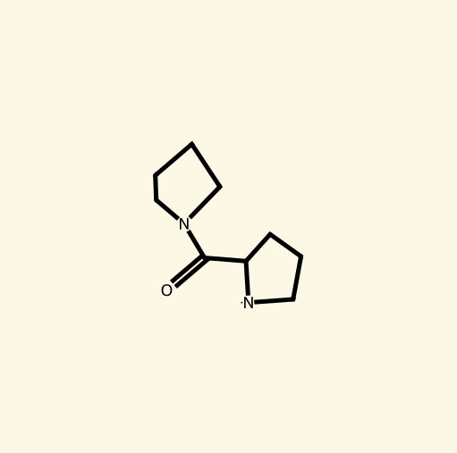 O=C(C1CCC[N]1)N1CCCC1